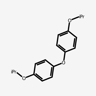 CC(C)Oc1ccc(Oc2ccc(OC(C)C)cc2)cc1